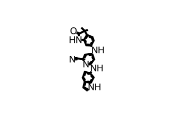 CC1(C)C(=O)Nc2cc(Nc3cc(C#N)nc(Nc4ccc5cc[nH]c5c4)c3)ccc21